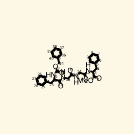 COC(=O)C(Cc1ccccc1)NC(=O)CNC(=O)CNC(=O)C(Cc1ccccc1)NC(=O)OCc1ccccc1